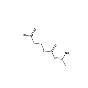 C/C(N)=C/C(=O)OCC[N+](=O)[O-]